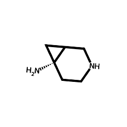 N[C@@]12CCNCC1C2